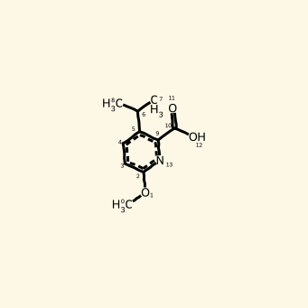 COc1ccc(C(C)C)c(C(=O)O)n1